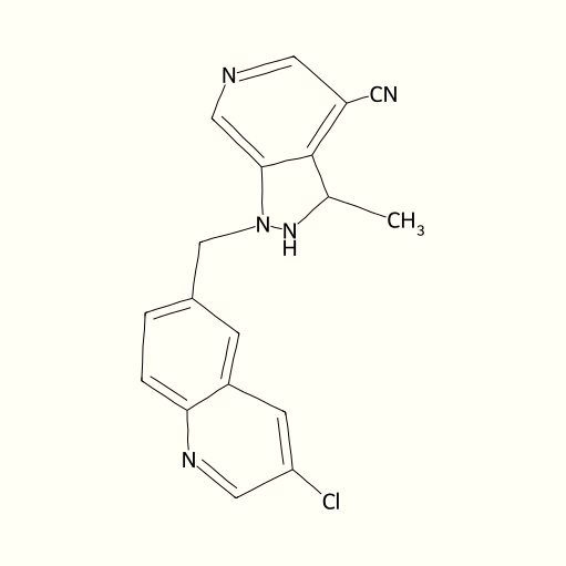 CC1NN(Cc2ccc3ncc(Cl)cc3c2)c2cncc(C#N)c21